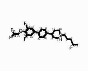 CC(F)CCC[SiH]1CCC(c2ccc(-c3cc(F)c(OC=C(F)F)c(F)c3)cc2)CC1